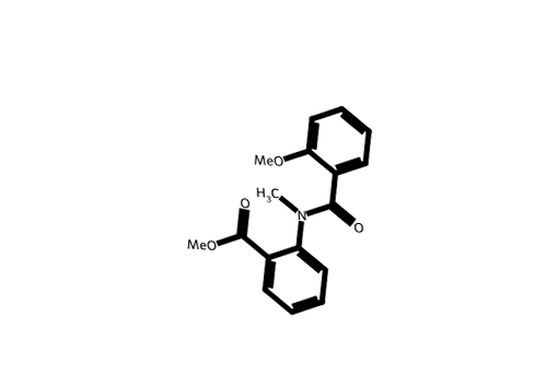 COC(=O)c1ccccc1N(C)C(=O)c1ccccc1OC